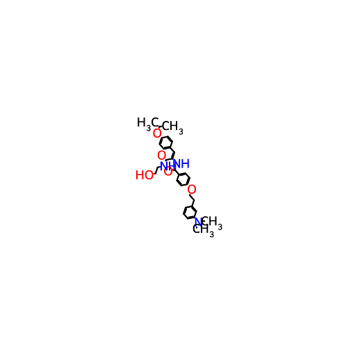 CC(C)Oc1ccc(/C=C(/NC(=O)c2ccc(OCCc3cccc(N(C)C)c3)cc2)C(=O)NCCO)cc1